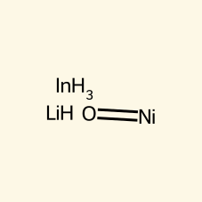 [InH3].[LiH].[O]=[Ni]